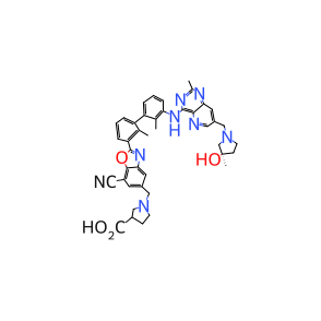 Cc1nc(Nc2cccc(-c3cccc(-c4nc5cc(CN6CCC(C(=O)O)C6)cc(C#N)c5o4)c3C)c2C)c2ncc(CN3CC[C@@](C)(O)C3)cc2n1